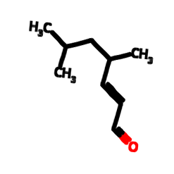 CC(C)CC(C)C=CC=O